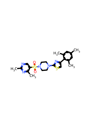 Cc1cc(C)c(-c2csc(N3CCN(S(=O)(=O)c4cnc(C)nc4C)CC3)n2)c(C)c1